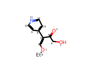 CCOC=C(C(=O)CO)c1ccncc1